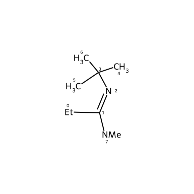 CC/C(=N\C(C)(C)C)NC